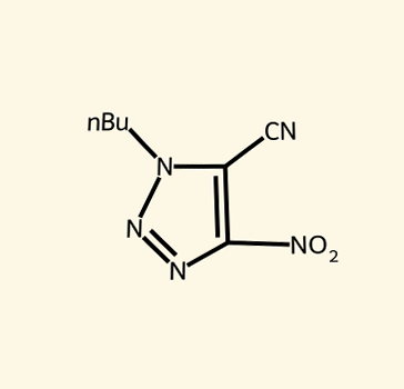 CCCCn1nnc([N+](=O)[O-])c1C#N